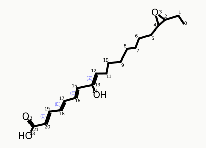 CCC1OC1CCCCCCC/C=C(O)/C=C/C=C/C=C/C(=O)O